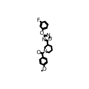 COc1ccc(C(=O)N2CCCC(c3nc(Oc4cccc(F)c4)no3)C2)cc1